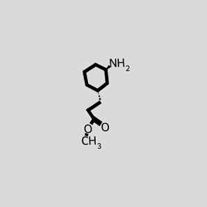 COC(=O)CC[C@@H]1CCC[C@@H](N)C1